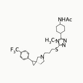 CC(=O)NC1CCC(c2nnc(SCCCN3CC[C@@]4(CC4c4ccc(C(F)(F)F)cc4)C3)n2C)CC1